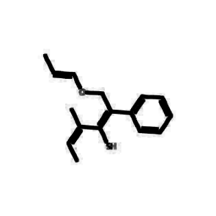 C/C=C(C)\C(S)=C(/CO/C=C/C)c1ccccc1